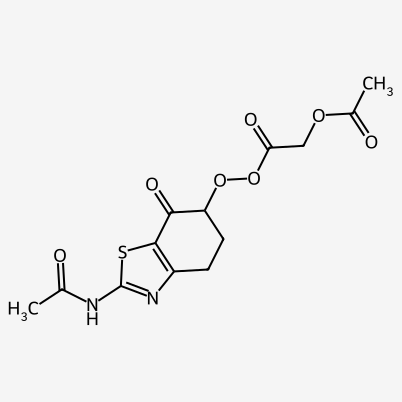 CC(=O)Nc1nc2c(s1)C(=O)C(OOC(=O)COC(C)=O)CC2